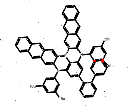 CC(C)(C)c1cc(N2c3cc4cc5ccccc5cc4cc3B3c4cc5cc6ccccc6cc5cc4N(c4cc(C(C)(C)C)cc(C(C)(C)C)c4)c4cc(-c5ccccc5-c5ccccc5)cc2c43)cc(C(C)(C)C)c1